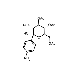 CC(=O)OC[C@H]1O[C@@](O)(c2ccc(N)cc2)[C@H](OC(C)=O)[C@@H](OC(C)=O)[C@@H]1OC(C)=O